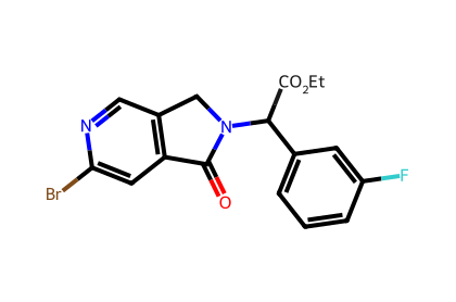 CCOC(=O)C(c1cccc(F)c1)N1Cc2cnc(Br)cc2C1=O